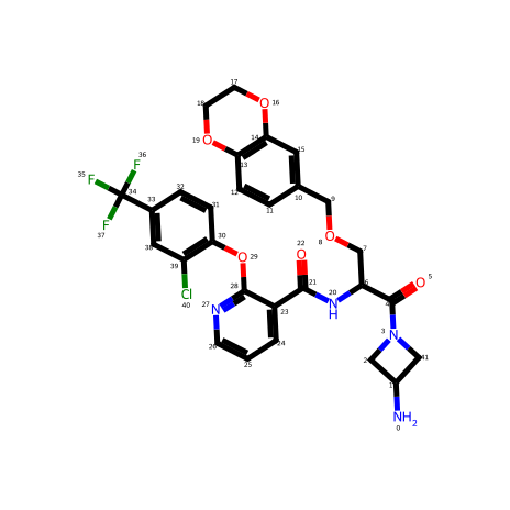 NC1CN(C(=O)C(COCc2ccc3c(c2)OCCO3)NC(=O)c2cccnc2Oc2ccc(C(F)(F)F)cc2Cl)C1